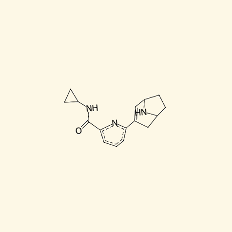 O=C(NC1CC1)c1cccc(C2=CC3CCC(C2)N3)n1